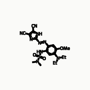 CCN(CC)c1cc(NS(=O)(=O)N(C)C)c(/N=N/c2nc(C#N)c(C#N)[nH]2)cc1OC